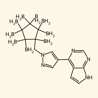 BC1(B)C(B)(B)C(B)(B)C(B)(Cn2cc(-c3ncnc4[nH]ccc34)cn2)C1(B)B